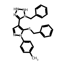 Cc1ccc(-n2ncc(C3=NNNN3Cc3ccccc3)c2SCc2ccccc2)cc1